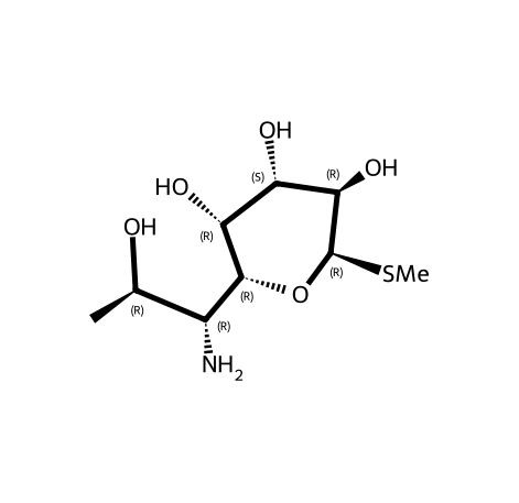 CS[C@H]1O[C@H]([C@H](N)[C@@H](C)O)[C@H](O)[C@H](O)[C@H]1O